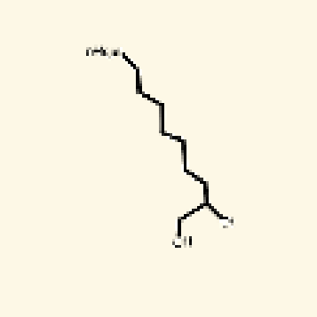 CCCCCCCCCCCCCCC(CC)CO